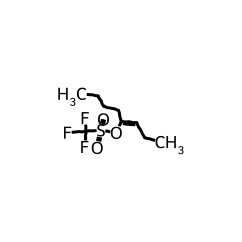 CCC=C(CCCC)OS(=O)(=O)C(F)(F)F